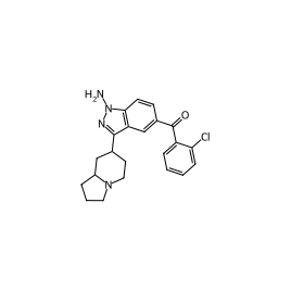 Nn1nc(C2CCN3CCCC3C2)c2cc(C(=O)c3ccccc3Cl)ccc21